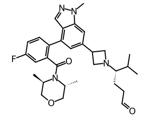 CC(C)[C@H](CCC=O)N1CC(c2cc(-c3ccc(F)cc3C(=O)N3[C@H](C)COC[C@H]3C)c3cnn(C)c3c2)C1